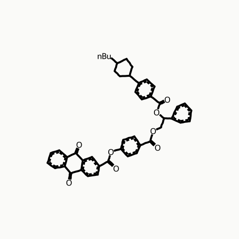 CCCCC1CCC(c2ccc(C(=O)OC(COC(=O)c3ccc(OC(=O)c4ccc5c(c4)C(=O)c4ccccc4C5=O)cc3)c3ccccc3)cc2)CC1